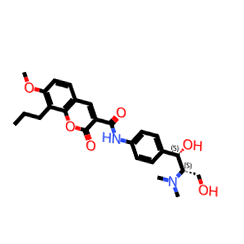 CCCc1c(OC)ccc2cc(C(=O)Nc3ccc([C@H](O)[C@H](CO)N(C)C)cc3)c(=O)oc12